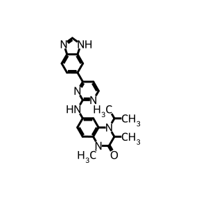 CC(C)N1c2cc(Nc3nccc(-c4ccc5nc[nH]c5c4)n3)ccc2N(C)C(=O)C1C